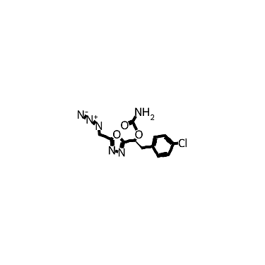 [N-]=[N+]=NCc1nnc([C@H](Cc2ccc(Cl)cc2)OC(N)=O)o1